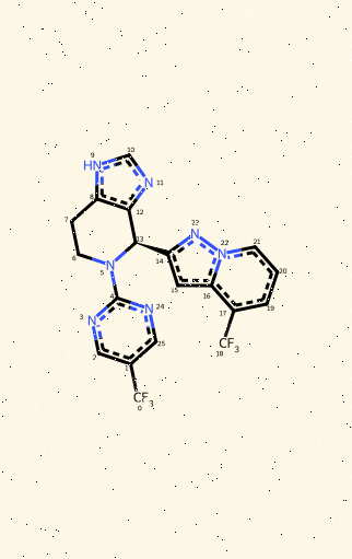 FC(F)(F)c1cnc(N2CCc3[nH]cnc3[C@H]2c2cc3c(C(F)(F)F)cccn3n2)nc1